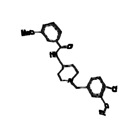 CCOc1cc(CN2CCC(NC(=O)c3cccc(OC)c3)CC2)ccc1Cl